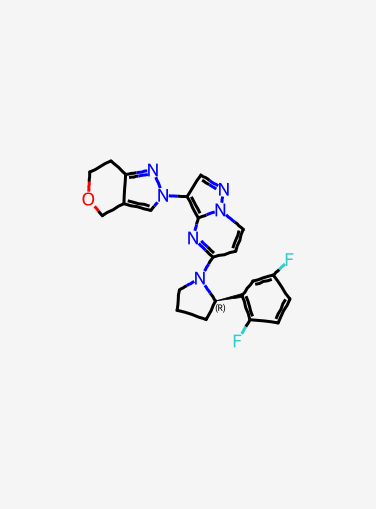 Fc1ccc(F)c([C@H]2CCCN2c2ccn3ncc(-n4cc5c(n4)CCOC5)c3n2)c1